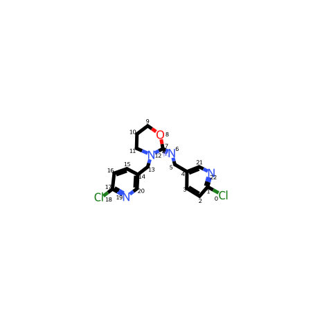 Clc1ccc(C/N=C2/OCCCN2Cc2ccc(Cl)nc2)cn1